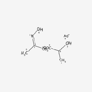 CC(C)=NO.CC(O)C(=O)[O-].[Ag+]